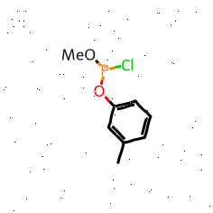 COP(Cl)Oc1cccc(C)c1